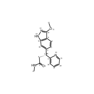 CNC(=O)C[C@H](c1ccc2c(OC)n[nH]c2c1)c1ccccn1